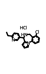 CCc1ccc(C2NCc3c(Cl)cccc3-n3cccc32)cn1.Cl